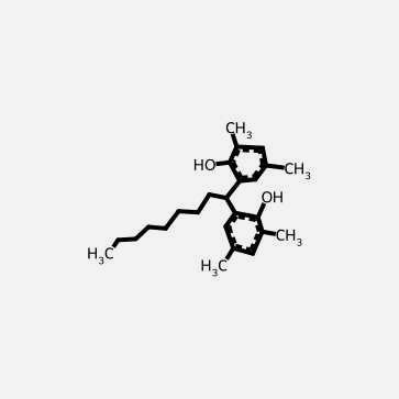 CCCCCCCCC(c1cc(C)cc(C)c1O)c1cc(C)cc(C)c1O